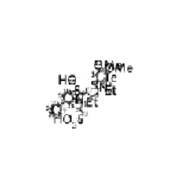 CCC(=Cc1sc2c([n+]1CC)[Te]C(OC)C(OC)=C2)C=C1Sc2ccc(-c3ccccc3)cc2N1CCCS(=O)(=O)O.[OH-]